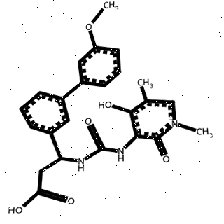 COc1cccc(-c2cccc(C(CC(=O)O)NC(=O)Nc3c(O)c(C)cn(C)c3=O)c2)c1